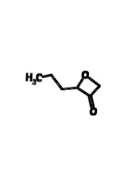 CCCC1OCC1=O